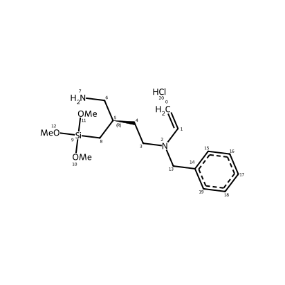 C=CN(CC[C@H](CN)C[Si](OC)(OC)OC)Cc1ccccc1.Cl